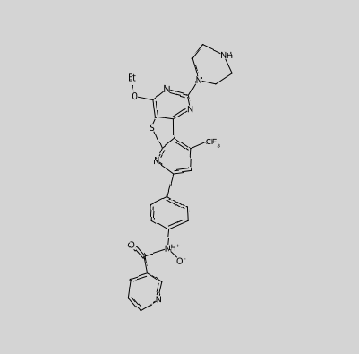 CCOc1nc(N2CCNCC2)nc2c1sc1nc(-c3ccc([NH+]([O-])C(=O)c4cccnc4)cc3)cc(C(F)(F)F)c12